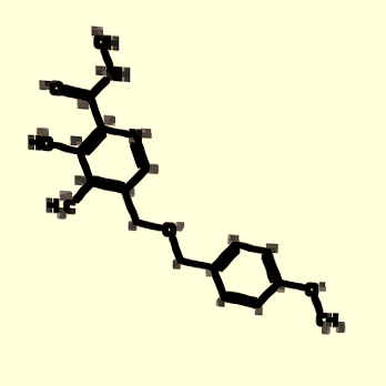 COc1ccc(COCc2cnc(C(=O)NO)c(O)c2C)cc1